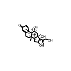 C[C@]12C=CC(=O)C=C1CC[C@@H]1[C@@H]2[C@@H](O)C[C@@]2(C)[C@H]1CC(O)[C@]2(O)C(=O)CO